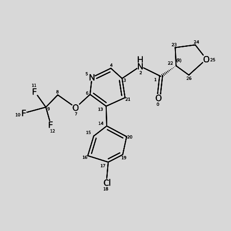 O=C(Nc1cnc(OCC(F)(F)F)c(-c2ccc(Cl)cc2)c1)[C@@H]1CCOC1